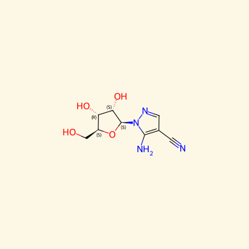 N#Cc1cnn([C@H]2O[C@@H](CO)[C@H](O)[C@@H]2O)c1N